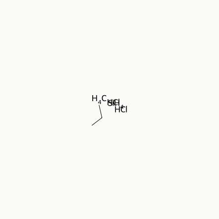 C.CCC.Cl.Cl.[SiH4]